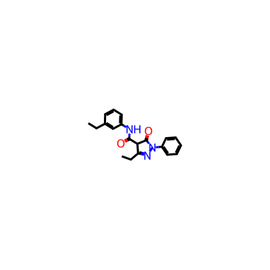 CCC1=NN(c2ccccc2)C(=O)C1C(=O)Nc1cccc(CC)c1